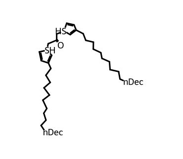 CCCCCCCCCCCCCCCCCCCCC1=C[SH](CC(=O)C[SH]2C=CC(CCCCCCCCCCCCCCCCCCCC)=C2)C=C1